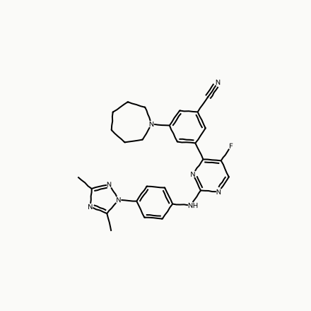 Cc1nc(C)n(-c2ccc(Nc3ncc(F)c(-c4cc(C#N)cc(N5CCCCCC5)c4)n3)cc2)n1